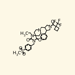 CCN1C(=O)N(Cc2ccc(S(C)(=O)=O)cc2)C(=O)C12CCN(CC1CN(C(=O)C3(C(F)(F)F)CCC3)CC1c1ccccc1)CC2